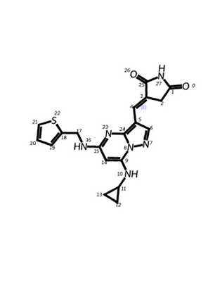 O=C1C/C(=C\c2cnn3c(NC4CC4)cc(NCc4cccs4)nc23)C(=O)N1